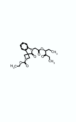 CCOC(=O)N1CC2(C1)C(=O)N(CC(=O)OC(CC)C(=O)CC)c1ccccc12